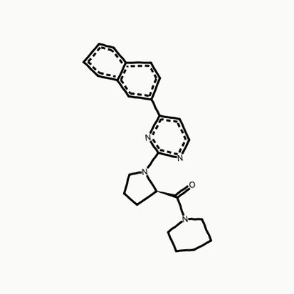 O=C([C@H]1CCCN1c1nccc(-c2ccc3ccccc3c2)n1)N1CCCCC1